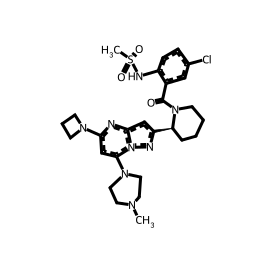 CN1CCN(c2cc(N3CCC3)nc3cc([C@@H]4CCCCN4C(=O)c4cc(Cl)ccc4NS(C)(=O)=O)nn23)CC1